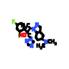 C[C@@H](n1ncc2cc(N(C)C)ccc21)[C@](O)(Cn1cncn1)c1ccc(F)cc1F